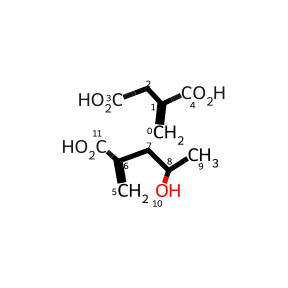 C=C(CC(=O)O)C(=O)O.C=C(CC(C)O)C(=O)O